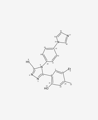 CCc1cc(-c2nnc(S)n2-c2ccc(-n3ccnc3)cc2)c(O)cc1C